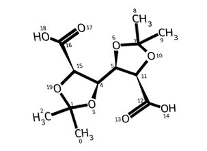 CC1(C)O[C@H]([C@H]2OC(C)(C)O[C@H]2C(=O)O)[C@H](C(=O)O)O1